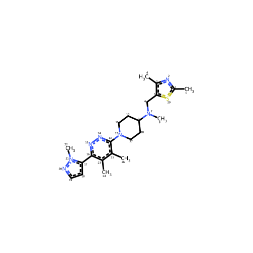 Cc1nc(C)c(CN(C)C2CCN(c3nnc(-c4ccnn4C)c(C)c3C)CC2)s1